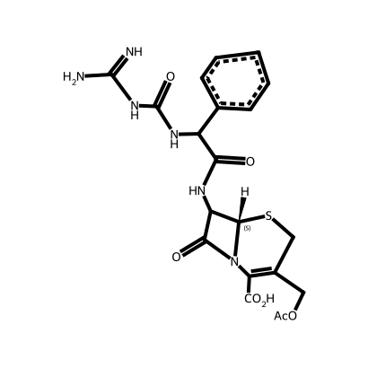 CC(=O)OCC1=C(C(=O)O)N2C(=O)C(NC(=O)C(NC(=O)NC(=N)N)c3ccccc3)[C@@H]2SC1